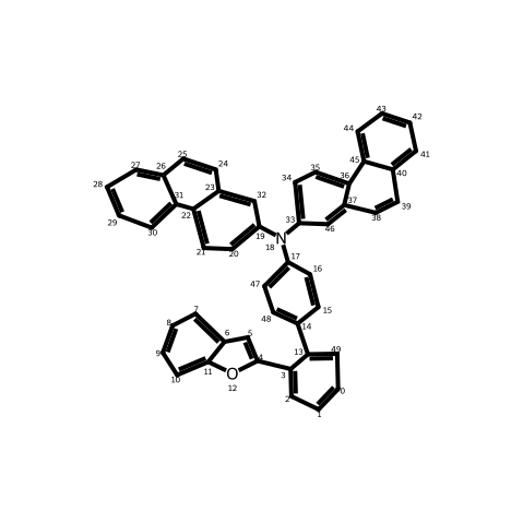 c1ccc(-c2cc3ccccc3o2)c(-c2ccc(N(c3ccc4c(ccc5ccccc54)c3)c3ccc4c(ccc5ccccc54)c3)cc2)c1